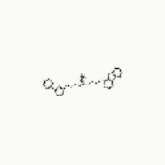 [Zr][SiH](CCCCc1cccc2c1Cc1ccccc1-2)CCCCc1cccc2c1Cc1ccccc1-2